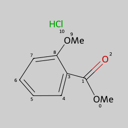 COC(=O)c1ccccc1OC.Cl